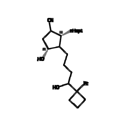 CCCCCCC[C@H]1C(C#N)C[C@@H](O)C1CCCC(O)C1(CC)CCC1